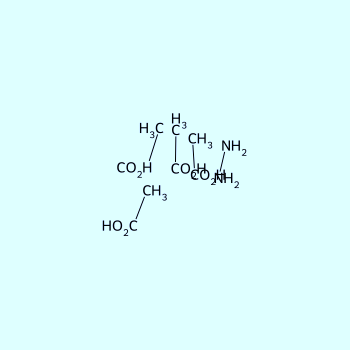 CC(=O)O.CC(=O)O.CC(=O)O.CC(=O)O.NN